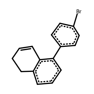 Brc1ccc(-c2cccc3c2C=CCC3)cc1